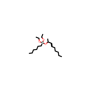 CCCCCC=CC(C)O[Si](CCCCCC)(OCC)OCC